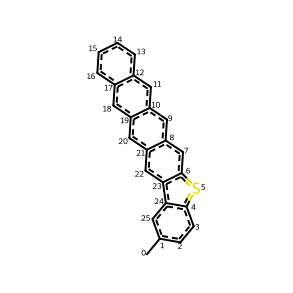 Cc1ccc2sc3cc4cc5cc6ccccc6cc5cc4cc3c2c1